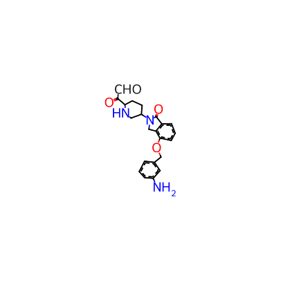 Nc1cccc(COc2cccc3c2CN(C2CCC(C(=O)C=O)NC2)C3=O)c1